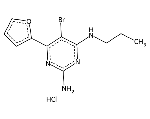 CCCNc1nc(N)nc(-c2ccco2)c1Br.Cl